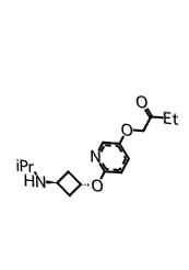 CCC(=O)COc1ccc(O[C@H]2C[C@H](NC(C)C)C2)nc1